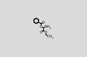 CCOC(=O)C(N)OC(=O)c1ccccc1